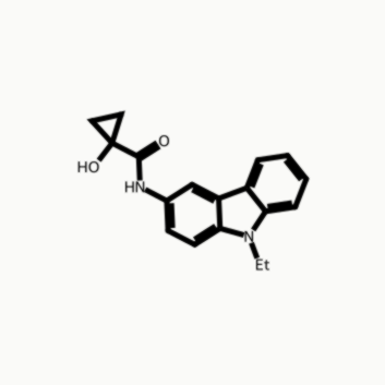 CCn1c2ccccc2c2cc(NC(=O)C3(O)CC3)ccc21